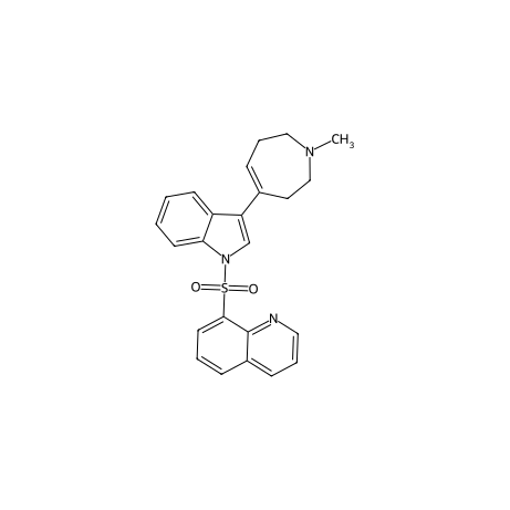 CN1CCC=C(c2cn(S(=O)(=O)c3cccc4cccnc34)c3ccccc23)CC1